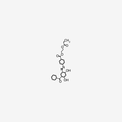 C=CC(=O)OCCOC(=O)c1ccc(/N=N/c2cc(C(=O)c3ccccc3)c(O)cc2O)cc1